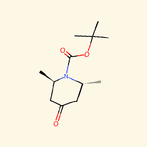 C[C@@H]1CC(=O)C[C@@H](C)N1C(=O)OC(C)(C)C